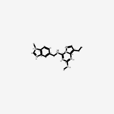 CCc1cnn2c(NCc3ccc4c(c3)ncn4C)nc(SC)nc12